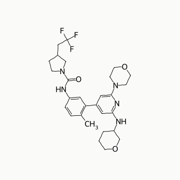 Cc1ccc(NC(=O)N2CCC(CC(F)(F)F)C2)cc1-c1cc(NC2CCCOC2)nc(N2CCOCC2)c1